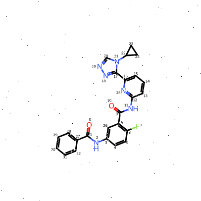 O=C(Nc1ccc(F)c(C(=O)Nc2cccc(-c3nncn3C3CC3)n2)c1)c1ccccc1